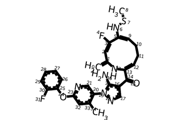 C=C1/C=C(F)\C(NSC)=C/CC/C=C(/C(=O)c2cnn(-c3cnc(Oc4ccccc4F)cc3C)c2N)N1